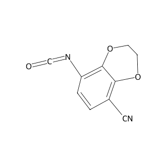 N#Cc1ccc(N=C=O)c2c1OCCO2